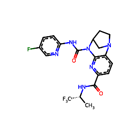 C[C@@H](NC(=O)c1ccc2c(n1)N(C(=O)Nc1ccc(F)cn1)C1CCN2C1)C(F)(F)F